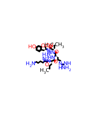 CCCC[C@H](NC(=O)[C@@H](N)CCCCN)C(=O)N[C@@H](CCCNC(=N)N)C(=O)N[C@@H](CC(C)C)C(=O)N[C@@H](Cc1ccc(O)cc1)C(=O)O